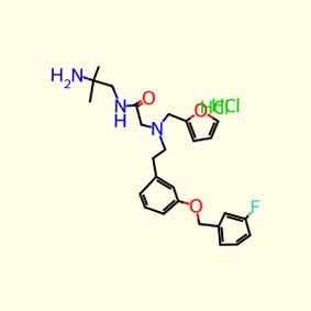 CC(C)(N)CNC(=O)CN(CCc1cccc(OCc2cccc(F)c2)c1)Cc1ccco1.Cl.Cl